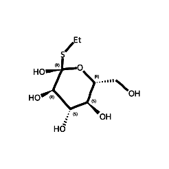 CCS[C@]1(O)O[C@H](CO)[C@@H](O)[C@H](O)[C@H]1O